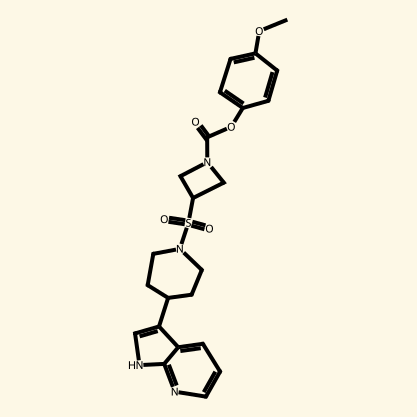 COc1ccc(OC(=O)N2CC(S(=O)(=O)N3CCC(c4c[nH]c5ncccc45)CC3)C2)cc1